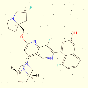 Oc1cc(-c2ncc3c(N4C[C@H]5CC[C@@H](C4)N5)cc(OC[C@@]45CCCN4C[C@H](F)C5)nc3c2F)c2c(F)cccc2c1